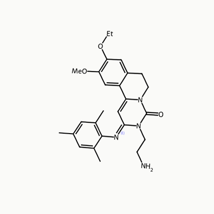 CCOc1cc2c(cc1OC)-c1c/c(=N\c3c(C)cc(C)cc3C)n(CCN)c(=O)n1CC2